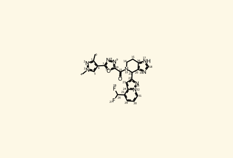 Cc1nn(C)cc1-c1nnc(C(=O)N2CCc3[nH]cnc3C2c2cc3c(C(F)F)cccn3n2)o1